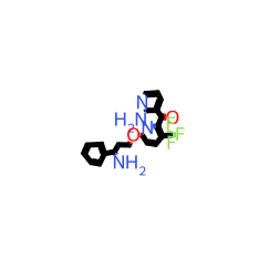 Nc1ncccc1C(=O)c1nc(OCCC(N)c2ccccc2)ccc1C(F)(F)F